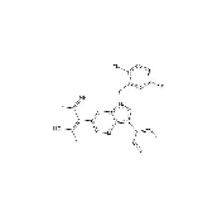 C=C/C(=C\C)c1cn(Cc2cc(F)ccc2Cl)c2cc(/C(C(C)=N)=C(\C)O)cnc12